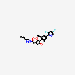 C#Cc1cc(-c2ncc(F)cc2F)cc(C)c1C1C(=O)CC(CC(=O)NCCCC)C1=O